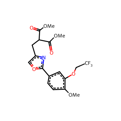 COC(=O)C(Cc1coc(-c2ccc(OC)c(OCC(F)(F)F)c2)n1)C(=O)OC